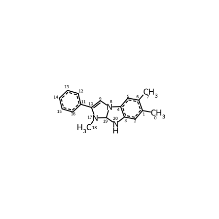 Cc1cc2c(cc1C)N1C=C(c3ccccc3)N(C)C1N2